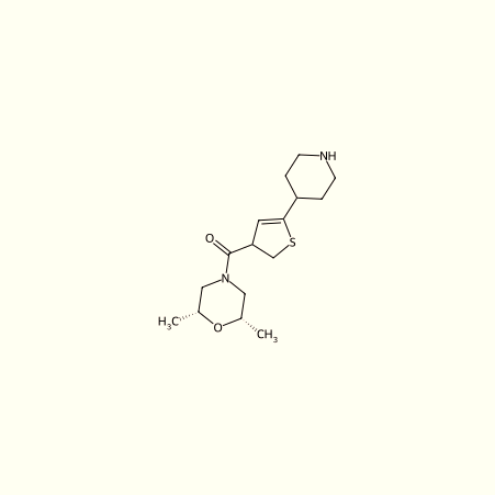 C[C@@H]1CN(C(=O)C2C=C(C3CCNCC3)SC2)C[C@H](C)O1